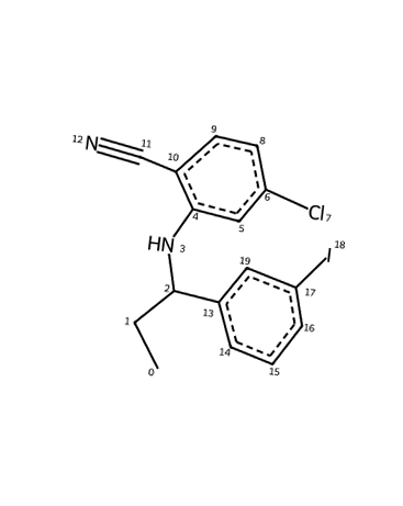 CCC(Nc1cc(Cl)ccc1C#N)c1cccc(I)c1